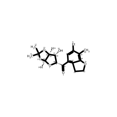 CCc1cc(C(=O)[C@@H]2O[C@H]3OC(C)(C)O[C@H]3[C@@H]2O)c2c(c1C)OCC2